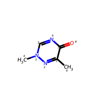 Cc1nn(C)[c]nc1=O